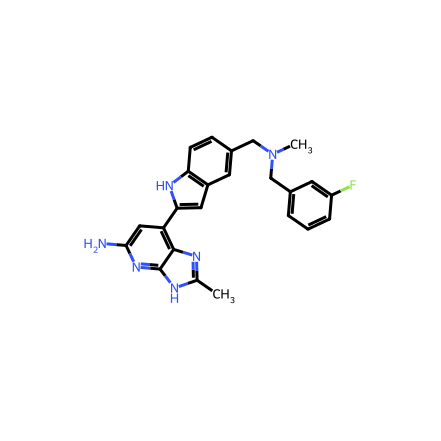 Cc1nc2c(-c3cc4cc(CN(C)Cc5cccc(F)c5)ccc4[nH]3)cc(N)nc2[nH]1